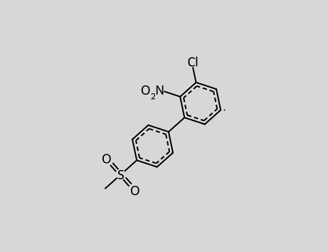 CS(=O)(=O)c1ccc(-c2c[c]cc(Cl)c2[N+](=O)[O-])cc1